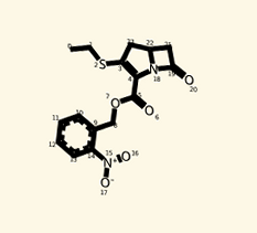 CCSC1=C(C(=O)OCc2ccccc2[N+](=O)[O-])N2C(=O)CC2C1